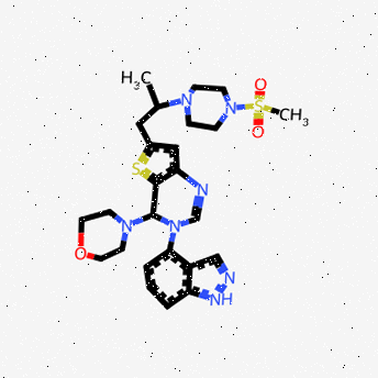 CC(Cc1cc2c(s1)C(N1CCOCC1)N(c1cccc3[nH]ncc13)C=N2)N1CCN(S(C)(=O)=O)CC1